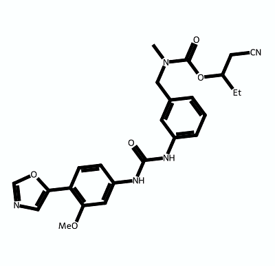 CCC(CC#N)OC(=O)N(C)Cc1cccc(NC(=O)Nc2ccc(-c3cnco3)c(OC)c2)c1